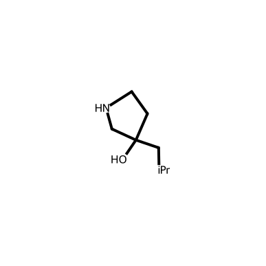 CC(C)CC1(O)CCNC1